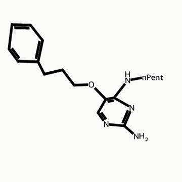 CCCCCNc1nc(N)ncc1OCCCc1ccccc1